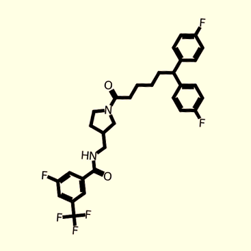 O=C(NCC1CCN(C(=O)CCCCC(c2ccc(F)cc2)c2ccc(F)cc2)C1)c1cc(F)cc(C(F)(F)F)c1